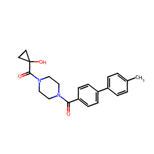 Cc1ccc(-c2ccc(C(=O)N3CCN(C(=O)C4(O)CC4)CC3)cc2)cc1